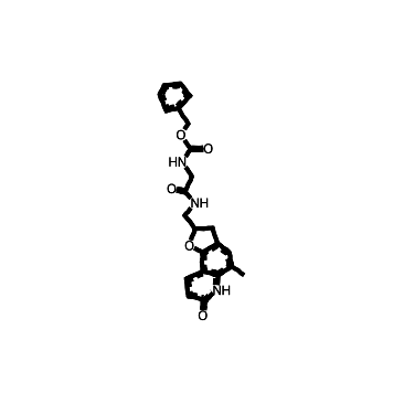 Cc1cc2c(c3ccc(=O)[nH]c13)OC(CNC(=O)CNC(=O)OCc1ccccc1)C2